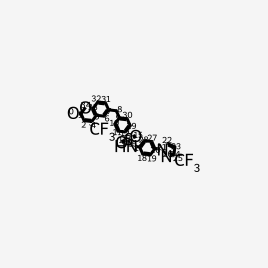 O=c1cc(C(F)(F)F)c2cc(Cc3ccc(S(=O)(=O)Nc4ccc(-n5ccc(C(F)(F)F)n5)cc4)cc3)ccc2o1